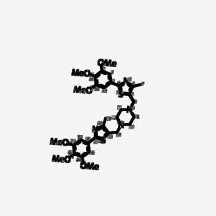 COc1cc(-c2nc(C)c(CN3CCN(Cc4sc(-c5cc(OC)c(OC)c(OC)c5)nc4C)CC3)s2)cc(OC)c1OC